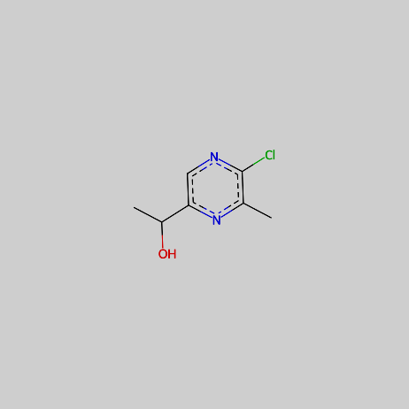 Cc1nc(C(C)O)cnc1Cl